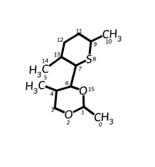 CC1OCC(C)C(C2SC(C)CCC2C)O1